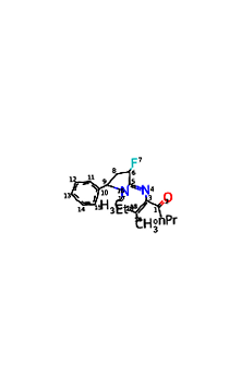 CCCC(=O)C(/N=C1/C(F)CC(c2ccccc2)N1C)=C(\C)CC